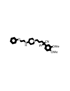 COc1ccc(C(C#N)(CCCN2CCC(NCCOc3ccccc3)CC2)C(C)C)cc1OC